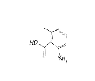 C=C(O)c1c(C)cccc1N